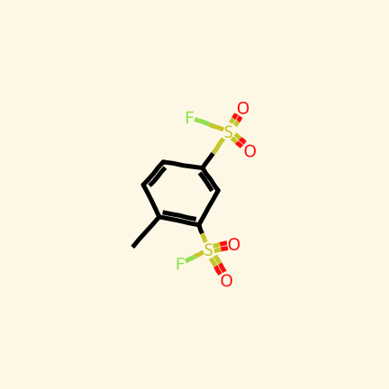 Cc1ccc(S(=O)(=O)F)cc1S(=O)(=O)F